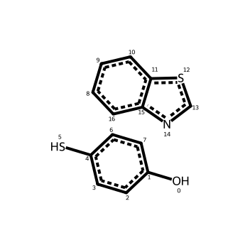 Oc1ccc(S)cc1.c1ccc2scnc2c1